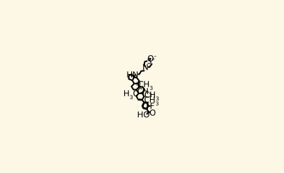 CC1(C)C(c2ccc(C(=O)O)c(F)c2)=CCC2(C)C1CCC1(C)C2CCC2C3CCCC3(NCCCN3CC[S+]([O-])CC3)CC[C@]21C